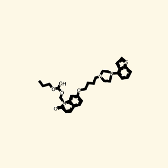 CCCOC(O)OCn1c(=O)ccc2ccc(OCCCCN3CCN(c4cccc5sccc45)CC3)cc21